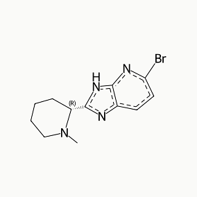 CN1CCCC[C@@H]1c1nc2ccc(Br)nc2[nH]1